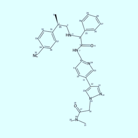 C[C@@H](CNC(C(=O)Nc1ccc(-c2cnn(CC(=O)N(C)C)c2)cn1)c1ccccc1)c1ccc(C#N)cc1